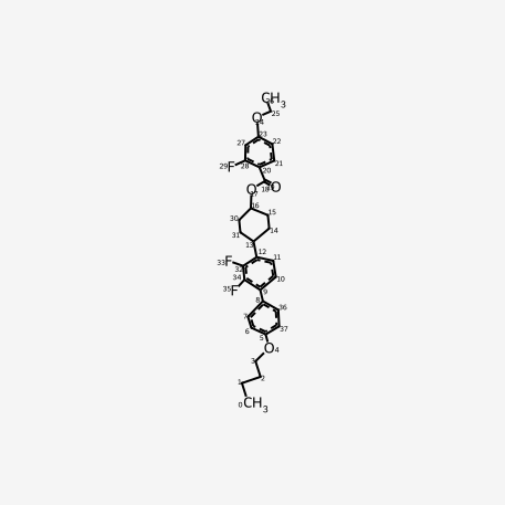 CCCCOc1ccc(-c2ccc(C3CCC(OC(=O)c4ccc(OCC)cc4F)CC3)c(F)c2F)cc1